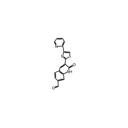 O=Cc1ccc2cc(-c3nc(-c4ccccn4)cs3)c(=O)[nH]c2c1